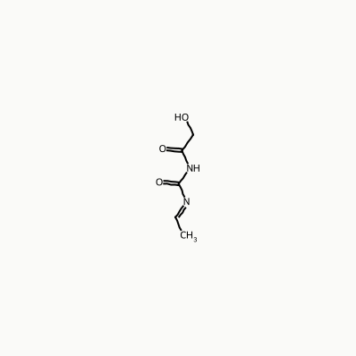 CC=NC(=O)NC(=O)CO